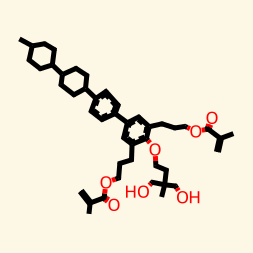 C=C(C)C(=O)OCCCc1cc(-c2ccc(C3CCC(C4CCC(C)CC4)CC3)cc2)cc(CCCOC(=O)C(=C)C)c1OCCC(C)(CO)CO